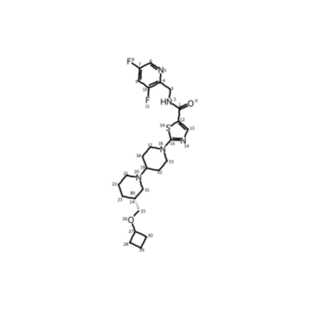 O=C(NCc1ncc(F)cc1F)c1cnc(N2CCC(N3CCC[C@@H](COC4CCC4)C3)CC2)s1